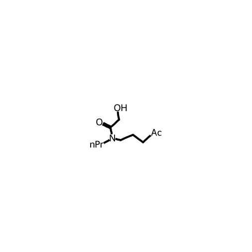 CCCN(CCCC(C)=O)C(=O)CO